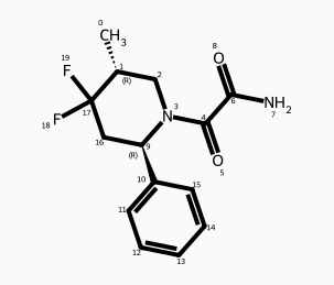 C[C@@H]1CN(C(=O)C(N)=O)[C@@H](c2ccccc2)CC1(F)F